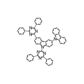 c1ccc(-c2nc(-c3ccccc3)nc(-c3ccc4c(c3)c3cc(-n5c6ccccc6c6ccccc65)ccc3n4-c3nc(-c4ccccc4)nc(-c4ccccc4)n3)n2)cc1